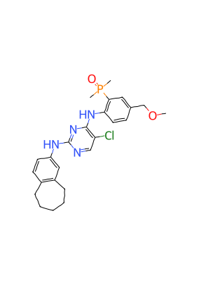 COCc1ccc(Nc2nc(Nc3ccc4c(c3)CCCCC4)ncc2Cl)c(P(C)(C)=O)c1